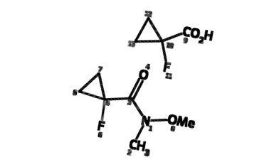 CON(C)C(=O)C1(F)CC1.O=C(O)C1(F)CC1